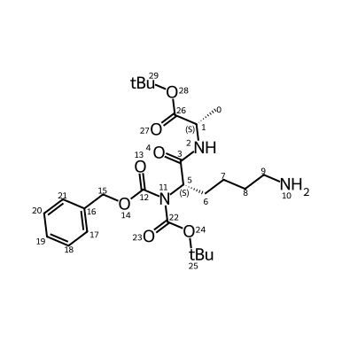 C[C@H](NC(=O)[C@H](CCCCN)N(C(=O)OCc1ccccc1)C(=O)OC(C)(C)C)C(=O)OC(C)(C)C